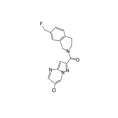 O=C(c1cc2ncc(Cl)cn2n1)N1CCc2ccc(CF)cc2C1